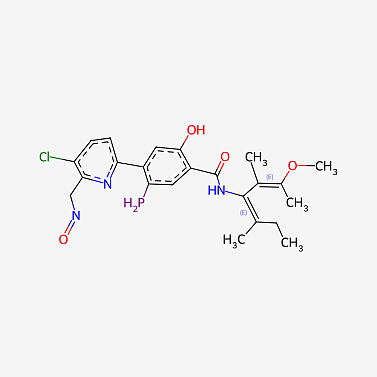 CC/C(C)=C(NC(=O)c1cc(P)c(-c2ccc(Cl)c(CN=O)n2)cc1O)\C(C)=C(/C)OC